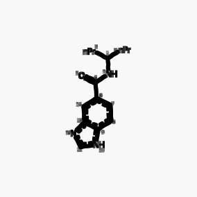 CCCC(CCC)NC(=O)c1ccc2[nH]cnc2c1